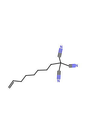 C=CCCCCCCC(C#N)(C#N)C#N